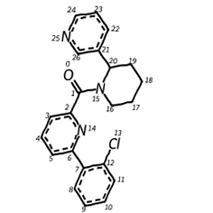 O=C(c1cccc(-c2ccccc2Cl)n1)N1CCCCC1c1cccnc1